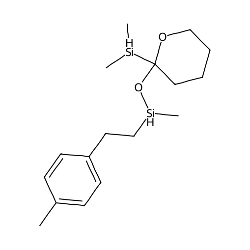 Cc1ccc(CC[SiH](C)OC2([SiH](C)C)CCCCO2)cc1